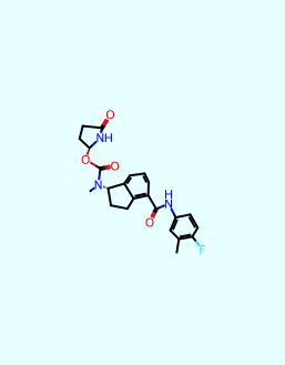 Cc1cc(NC(=O)c2cccc3c2CC[C@@H]3N(C)C(=O)O[C@H]2CCC(=O)N2)ccc1F